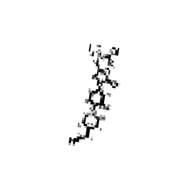 CN(CC1CN(c2ccc(N3CCC(=CC#N)CC3)c(F)c2)C(=O)O1)C(O)=S